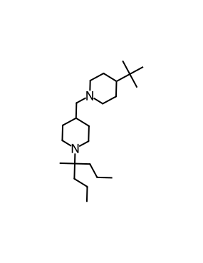 CCCC(C)(CCC)N1CCC(CN2CCC(C(C)(C)C)CC2)CC1